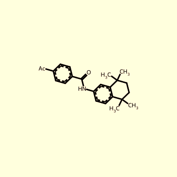 CC(=O)c1ccc(C(=O)Nc2ccc3c(c2)C(C)(C)CCC3(C)C)cc1